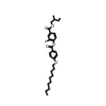 CCCCCCCCCCOc1ccc(C(=O)Oc2ccc(C(=O)OCC(C)CC)cc2F)cc1